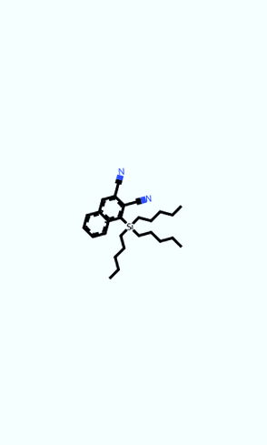 CCCCC[Si](CCCCC)(CCCCC)c1c(C#N)c(C#N)cc2ccccc12